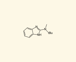 CN(c1nc2ccccc2[nH]1)C(C)(C)C